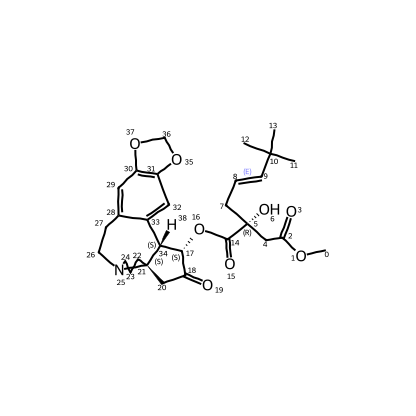 COC(=O)C[C@](O)(C/C=C/C(C)(C)C)C(=O)O[C@@H]1C(=O)C[C@]23CCCN2CCc2cc4c(cc2[C@H]13)OCO4